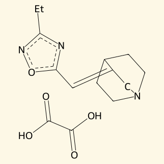 CCc1noc(C=C2CN3CCC2CC3)n1.O=C(O)C(=O)O